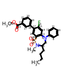 CCCCC1CN(c2ccccc2)c2cc(F)c(-c3cccc(C(=O)OC)c3)cc2S(=O)(=O)N1C